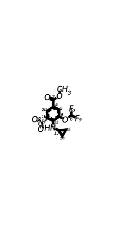 COC(=O)c1cc(OC(F)F)c(NC2CC2)c([N+](=O)[O-])c1